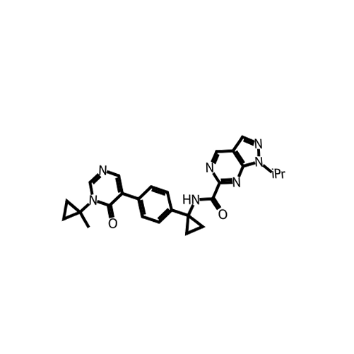 CC(C)n1ncc2cnc(C(=O)NC3(c4ccc(-c5cncn(C6(C)CC6)c5=O)cc4)CC3)nc21